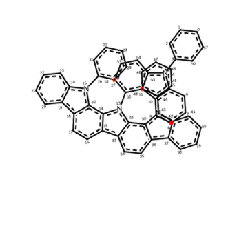 c1ccc(-n2c3ccccc3c3c(-n4c5c(ccc6c7ccccc7n(-c7ccccc7)c65)c5ccc6c7ccccc7n(-c7ccccc7)c6c54)cccc32)cc1